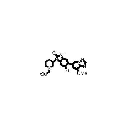 CCc1cc2c(cc1-c1cc(OC)c3ncnn3c1)[nH]c(=O)n2C1CCCN(CC(C)(C)C)C1